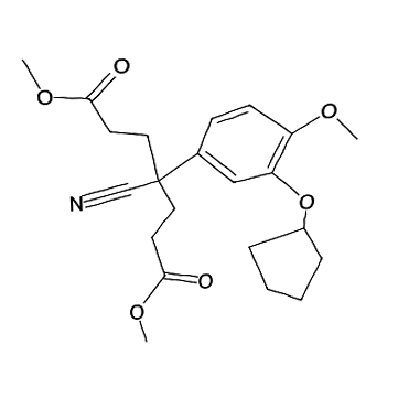 COC(=O)CCC(C#N)(CCC(=O)OC)c1ccc(OC)c(OC2CCCC2)c1